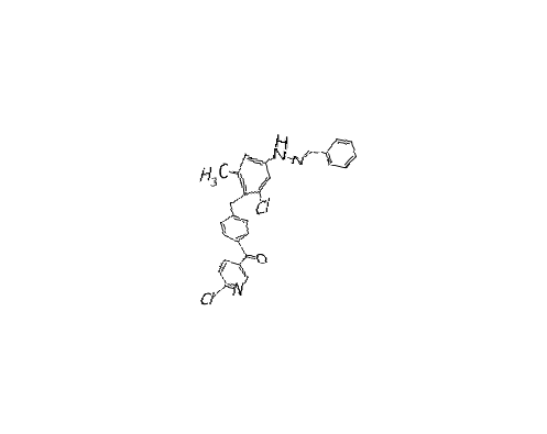 Cc1cc(N/N=C/c2ccccc2)cc(Cl)c1Cc1ccc(C(=O)c2ccc(Cl)nc2)cc1